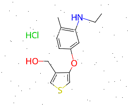 CCNc1cc(Oc2cscc2CO)ccc1C.Cl